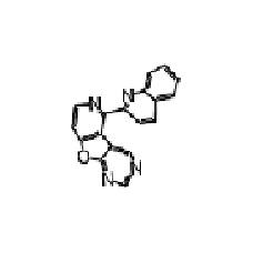 c1ccc2nc(-c3nccc4oc5ncncc5c34)ccc2c1